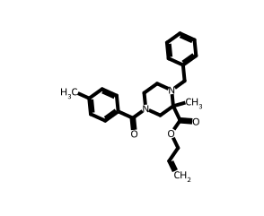 C=CCOC(=O)C1(C)CN(C(=O)c2ccc(C)cc2)CCN1Cc1ccccc1